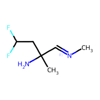 C/N=C/C(C)(N)CC(F)F